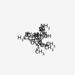 CC/C=C(\COC(=O)C1=C(/C=C\c2cccnc2C)CS[C@@H]2[C@H](NC(=O)/C(=N\O)c3csc(N)n3)C(=O)N12)C(=O)OCC(C)C